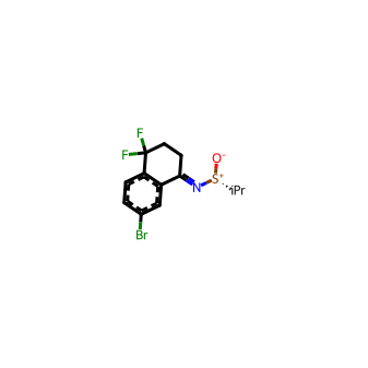 CC(C)[S@@+]([O-])/N=C1\CCC(F)(F)c2ccc(Br)cc21